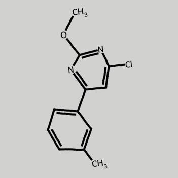 COc1nc(Cl)cc(-c2cccc(C)c2)n1